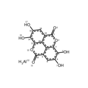 O=c1oc2c(O)c(O)cc3c(=O)oc4c(O)c(O)cc1c4c23.[AlH3]